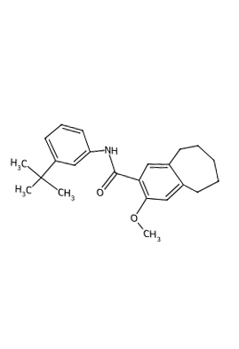 COc1cc2c(cc1C(=O)Nc1cccc(C(C)(C)C)c1)CCCCC2